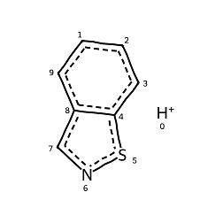 [H+].c1ccc2sncc2c1